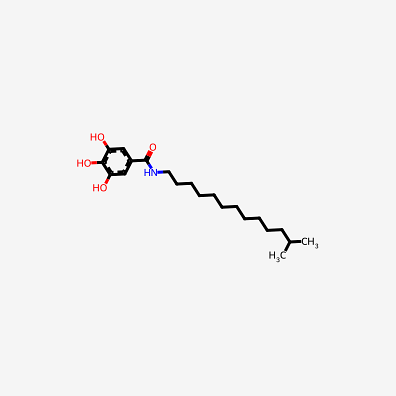 CC(C)CCCCCCCCCCCNC(=O)c1cc(O)c(O)c(O)c1